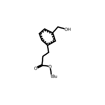 CC(C)(C)OC(=O)CCc1cccc(CO)c1